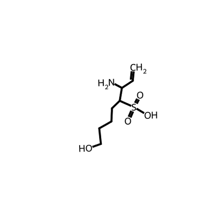 C=CC(N)C(CCCCO)S(=O)(=O)O